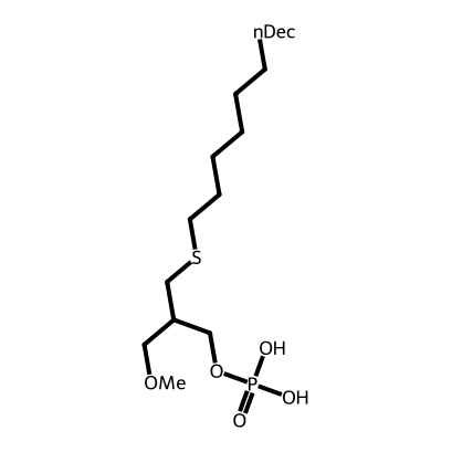 CCCCCCCCCCCCCCCCSCC(COC)COP(=O)(O)O